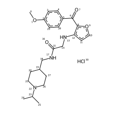 COc1ccc(C(=O)c2occc2NCC(=O)NCC2CCN(C(C)C)CC2)cc1.Cl